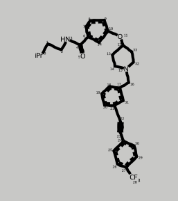 CC(C)CCNC(=O)c1cccc(OC2CCN(Cc3cccc(C#Cc4ccc(C(F)(F)F)cc4)c3)CC2)c1